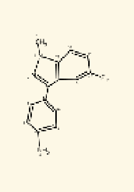 Cn1nc(-c2ccc(N)cc2)c2cc(F)ccc21